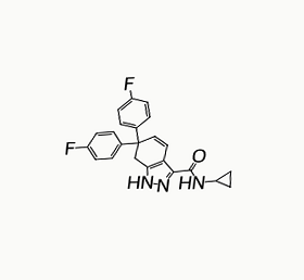 O=C(NC1CC1)c1n[nH]c2c1C=CC(c1ccc(F)cc1)(c1ccc(F)cc1)C2